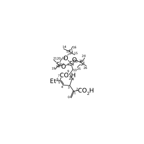 C=C(C(=O)O)C(C=C(CC)C(=O)O)CCC[Si](O[Si](C)(C)C)(O[Si](C)(C)C)O[Si](C)(C)C